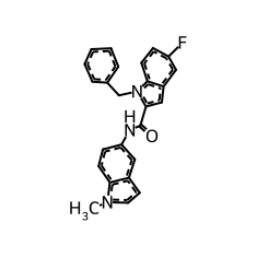 Cn1ccc2cc(NC(=O)c3cc4cc(F)ccc4n3Cc3ccccc3)ccc21